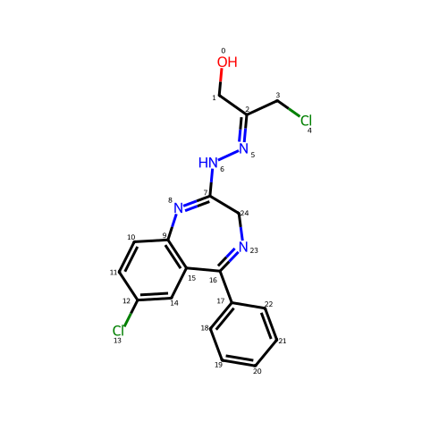 OC/C(CCl)=N\NC1=Nc2ccc(Cl)cc2C(c2ccccc2)=NC1